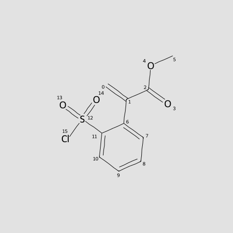 C=C(C(=O)OC)c1ccccc1S(=O)(=O)Cl